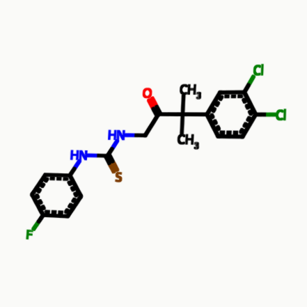 CC(C)(C(=O)CNC(=S)Nc1ccc(F)cc1)c1ccc(Cl)c(Cl)c1